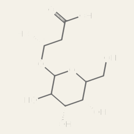 C[C@H](CC(=O)O)OC1OC(CO)[C@H](O)[C@H](O)C1O